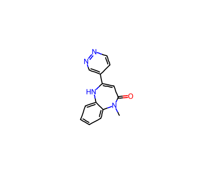 CN1C(=O)C=C(c2ccnnc2)Nc2ccccc21